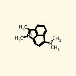 CC1=[N+](C)c2ccc(N(C)C)c3cccc1c23